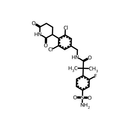 CC(C)(C(=O)NCc1cc(Cl)c(C2CCC(=O)NC2=O)c(Cl)c1)c1ccc(S(N)(=O)=O)cc1F